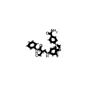 NC(=O)c1ccc(-n2cnc3c(F)cc(NCC(CCl)C(=O)Nc4ccccc4)cc32)cc1